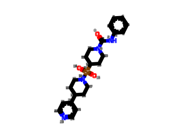 O=C(Nc1ccccc1)N1CCC(S(=O)(=O)N2CCC(c3ccncc3)CC2)CC1